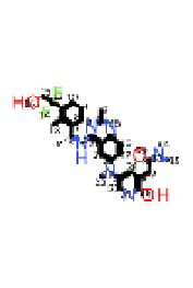 Cc1nc(N[C@H](C)c2cccc(C(F)(F)CO)c2C)c2cc(N(C)c3cnc(O)c(CC(=O)N(C)C)c3)ccc2n1